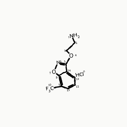 Cl.NCCOc1noc2c(C(F)(F)F)cccc12